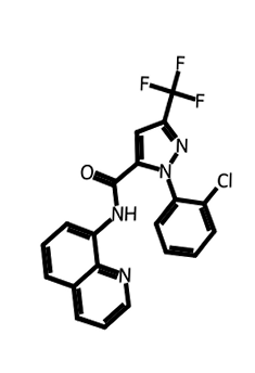 O=C(Nc1cccc2cccnc12)c1cc(C(F)(F)F)nn1-c1ccccc1Cl